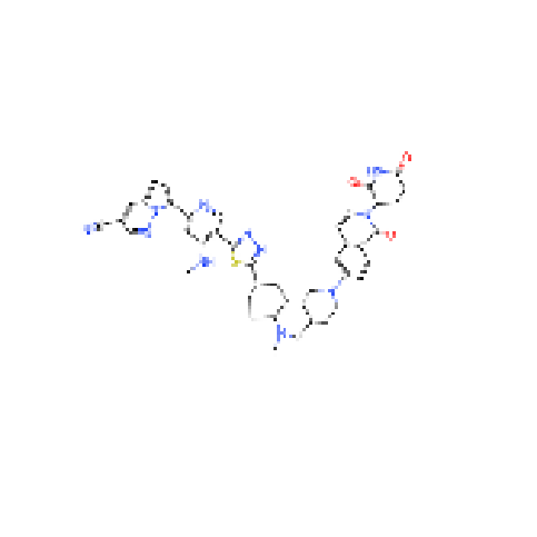 CNc1cc(-c2ccc3cc(C#N)cnn23)ncc1-c1nnc(C2CCC(N(C)CC3CCN(c4ccc5c(=O)n(C6CCC(=O)NC6=O)ccc5c4)CC3)CC2)s1